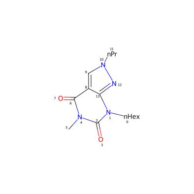 CCCCCCn1c(=O)n(C)c(=O)c2cn(CCC)nc21